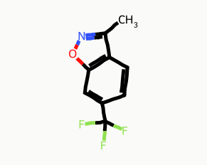 Cc1noc2cc(C(F)(F)F)ccc12